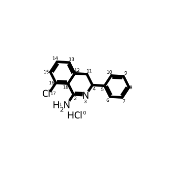 Cl.NC1=NC(c2ccccc2)Cc2cccc(Cl)c21